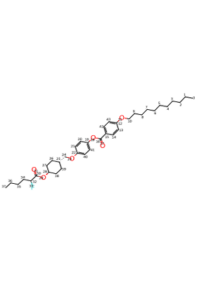 CCCCCCCCCCCOc1ccc(C(=O)Oc2ccc(OC[C@H]3CC[C@H](OC(=O)[C@@H](F)CCCC)CC3)cc2)cc1